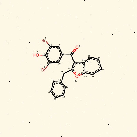 O=C(c1cc(Br)c(O)c(Br)c1)c1c(Cc2ccccc2)oc2ccccc12